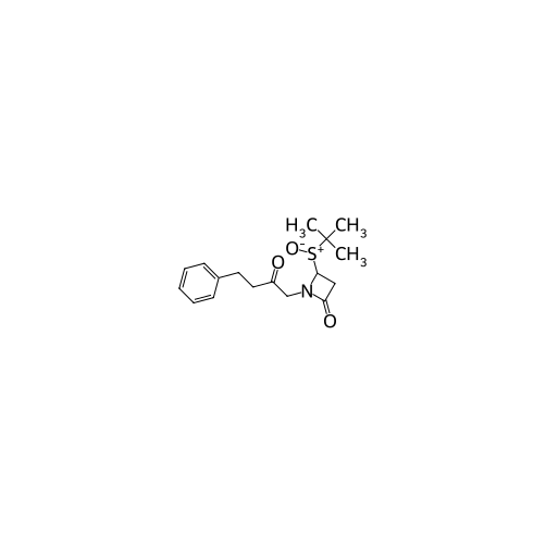 CC(C)(C)[S+]([O-])C1CC(=O)N1CC(=O)CCc1ccccc1